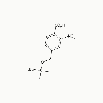 CC(C)(C)[Si](C)(C)OCc1ccc(C(=O)O)c([N+](=O)[O-])c1